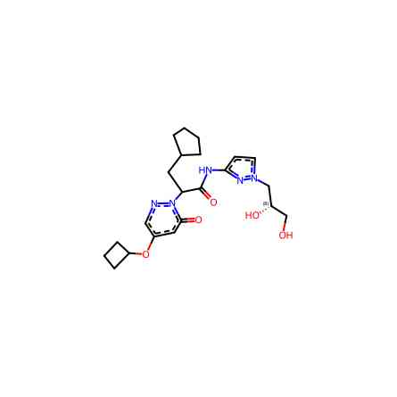 O=C(Nc1ccn(C[C@@H](O)CO)n1)C(CC1CCCC1)n1ncc(OC2CCC2)cc1=O